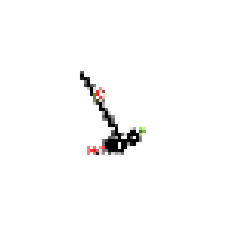 CCCCCC[S+]([O-])CCCCCCCCCCC1c2ccc(O)cc2CCC1c1ccc(F)cc1